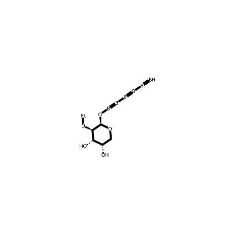 B=BB=BB=BO[C@H]1OC[C@H](O)[C@H](O)[C@H]1OCC